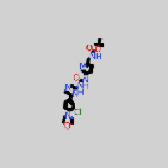 CC(C)(C)OC(=O)NCc1ccc(NC(=O)Nc2cncc(-c3ccc(N4CCOCC4)c(Cl)c3)n2)cn1